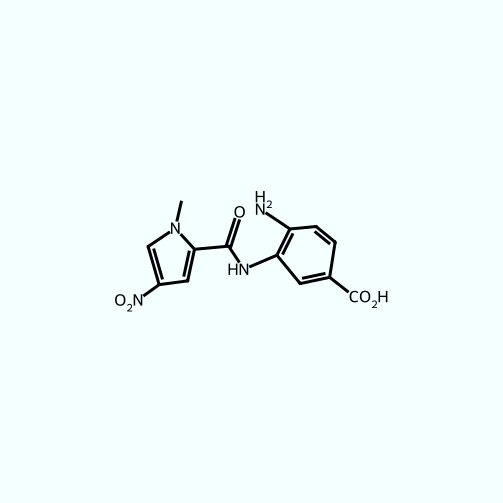 Cn1cc([N+](=O)[O-])cc1C(=O)Nc1cc(C(=O)O)ccc1N